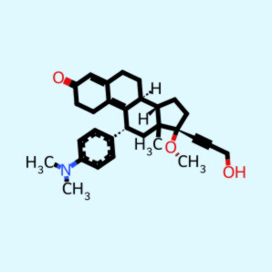 CO[C@@]1(C#CCO)CC[C@H]2[C@@H]3CCC4=CC(=O)CCC4=C3[C@@H](c3ccc(N(C)C)cc3)CC21C